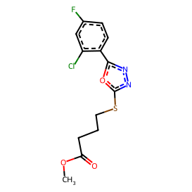 COC(=O)CCCSc1nnc(-c2ccc(F)cc2Cl)o1